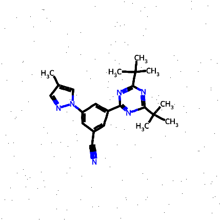 Cc1cnn(-c2cc(C#N)cc(-c3nc(C(C)(C)C)nc(C(C)(C)C)n3)c2)c1